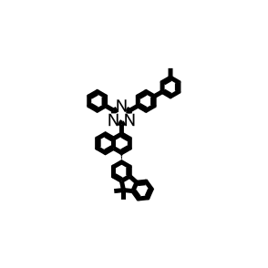 Cc1cccc(-c2ccc(-c3nc(-c4ccccc4)nc(-c4ccc([C@@H]5C=C6C(=CC5)C(C)(C)c5ccccc56)c5ccccc45)n3)cc2)c1